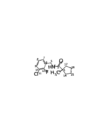 CC1(C(=O)NCc2cccc(Cl)c2F)CCCC1